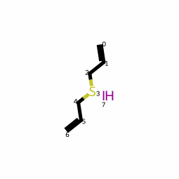 C=CCSCC=C.I